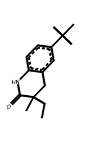 CCC1(C)Cc2cc(C(C)(C)C)ccc2NC1=O